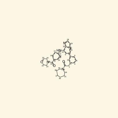 O=C(Cc1cccc(-c2cc(Nc3ccc(C(=O)N4CCOCC4)cn3)c3nccn3c2)c1)N1CCCCCC1